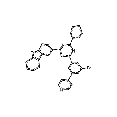 Brc1cc(-c2ccncc2)cc(-c2nc(-c3ccccc3)nc(-c3ccc4oc5ccccc5c4c3)n2)c1